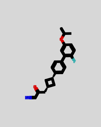 CC(C)Oc1ccc(F)c(-c2ccc([C@H]3C[C@@H](CC(=O)C=N)C3)cc2)c1